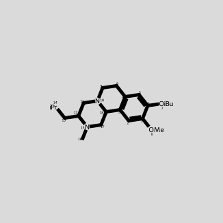 COc1cc2c(cc1OCC(C)C)CCN1CC(CC(C)C)N(C)CC21